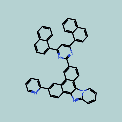 c1ccc(-c2ccc3c(c2)c2cc(-c4nc(-c5cccc6ccccc56)cc(-c5cccc6ccccc56)n4)ccc2c2c3nc3ccccn32)nc1